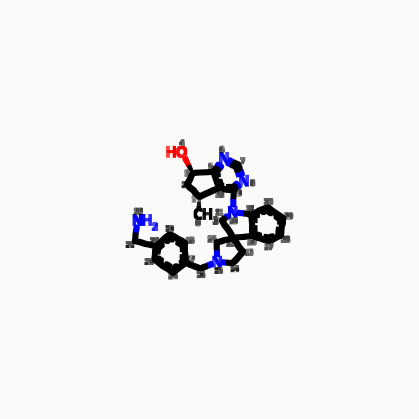 C[C@@H]1C[C@@H](O)c2ncnc(N3CC4(CCN(Cc5ccc(CN)cc5)C4)c4ccccc43)c21